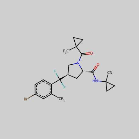 N#CC1(NC(=O)[C@@H]2C[C@@H](C(F)(F)c3ccc(Br)cc3C(F)(F)F)CN2C(=O)C2(C(F)(F)F)CC2)CC1